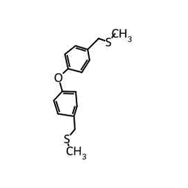 CSCc1ccc(Oc2ccc(CSC)cc2)cc1